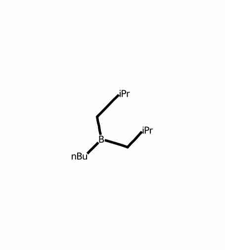 CCCCB(CC(C)C)CC(C)C